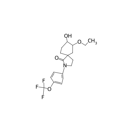 CCOC1CC2(CCC1O)CCN(c1ccc(OC(F)(F)F)cc1)C2=O